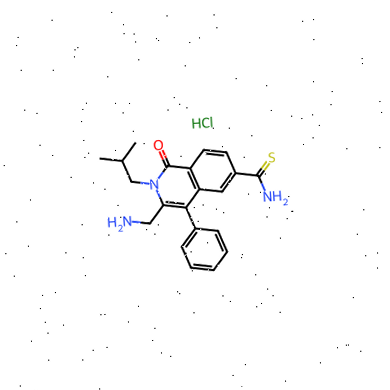 CC(C)Cn1c(CN)c(-c2ccccc2)c2cc(C(N)=S)ccc2c1=O.Cl